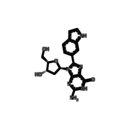 Nc1nc2c(nc(-c3ccc4cc[nH]c4c3)n2[C@H]2C[C@H](O)[C@@H](CO)O2)c(=O)[nH]1